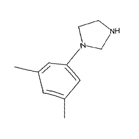 Cc1cc(C)cc(N2CCNC2)c1